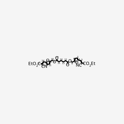 CCOC(=O)/C(C#N)=C/c1ccc(COC(=O)CCCCC(=O)OCc2ccc(/C=C(\C#N)C(=O)OCC)o2)o1